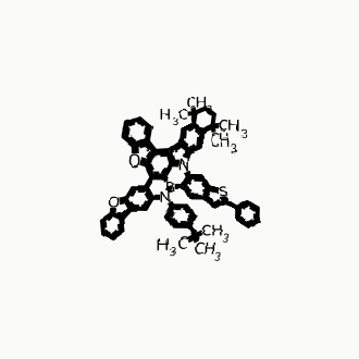 CC(C)(C)c1ccc(N2B3c4cc5cc(-c6ccccc6)sc5cc4-n4c5cc6c(cc5c5c7c(oc8ccccc87)c(c3c54)-c3cc4oc5ccccc5c4cc32)C(C)(C)CCC6(C)C)cc1